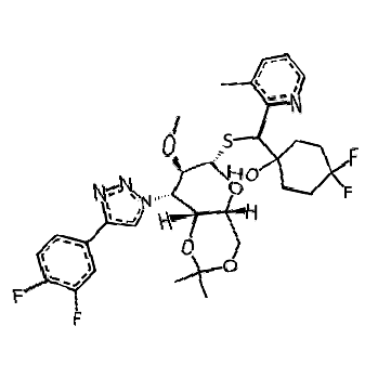 CO[C@@H]1[C@@H](n2cc(-c3ccc(F)c(F)c3)nn2)[C@H]2OC(C)(C)OC[C@H]2O[C@H]1SC(c1ncccc1C)C1(O)CCC(F)(F)CC1